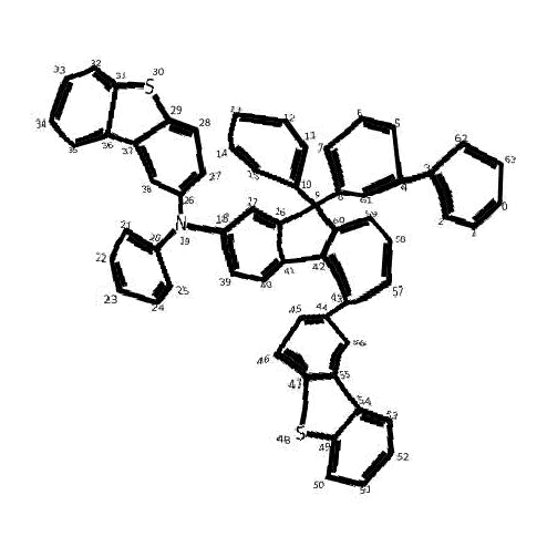 c1ccc(-c2cccc(C3(c4ccccc4)c4cc(N(c5ccccc5)c5ccc6sc7ccccc7c6c5)ccc4-c4c(-c5ccc6sc7ccccc7c6c5)cccc43)c2)cc1